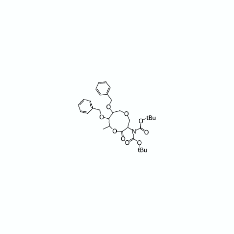 CC1OC(=O)C(N(C(=O)OC(C)(C)C)C(=O)OC(C)(C)C)COCC(OCc2ccccc2)C1OCc1ccccc1